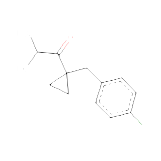 CC(C)C(=O)C1(Cc2ccc(F)cc2)CC1